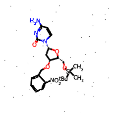 CC(C)(C)[Si](C)(C)OC[C@H]1O[C@@H](n2ccc(N)nc2=O)C[C@@H]1OCc1ccccc1[N+](=O)[O-]